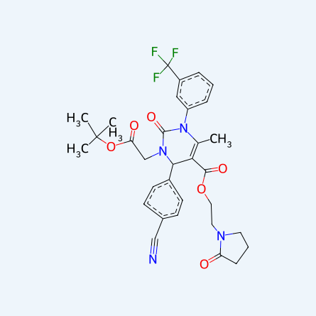 CC1=C(C(=O)OCCN2CCCC2=O)C(c2ccc(C#N)cc2)N(CC(=O)OC(C)(C)C)C(=O)N1c1cccc(C(F)(F)F)c1